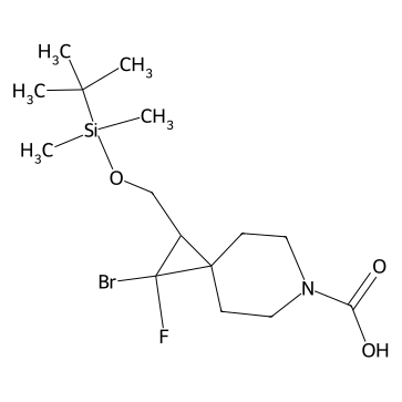 CC(C)(C)[Si](C)(C)OCC1C(F)(Br)C12CCN(C(=O)O)CC2